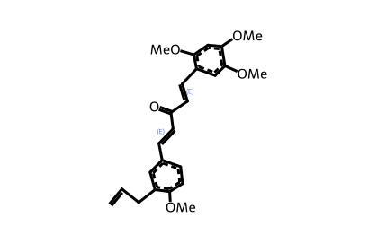 C=CCc1cc(/C=C/C(=O)/C=C/c2cc(OC)c(OC)cc2OC)ccc1OC